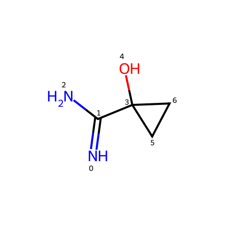 N=C(N)C1(O)CC1